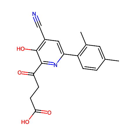 Cc1ccc(-c2cc(C#N)c(O)c(C(=O)CCC(=O)O)n2)c(C)c1